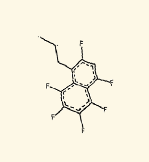 [CH2][CH]Cc1c(F)cc(F)c2c(F)c(F)c(F)c(F)c12